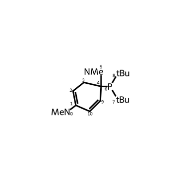 CNC1=CCC(NC)(P(C(C)(C)C)C(C)(C)C)C=C1